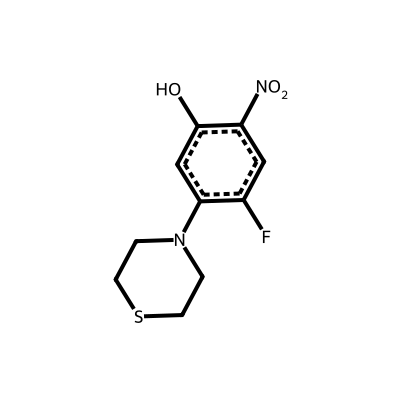 O=[N+]([O-])c1cc(F)c(N2CCSCC2)cc1O